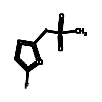 CS(=O)(=O)[CH]c1ccc(F)o1